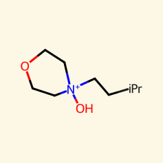 CC(C)CC[N+]1(O)CCOCC1